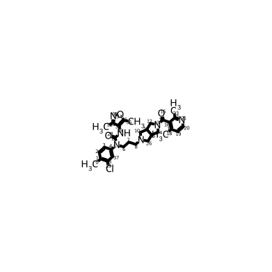 Cc1ccc(N(CCCN2CC3CN(C(=O)c4c(C)ccnc4C)CC3C2)C(=O)Nc2c(C)noc2C)cc1Cl